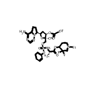 CCC(=O)O[C@H]1C[C@H](c2ccc3c(N)ncnn23)O[C@]1(C#N)COP(=O)(N[C@@H](C)C(=O)OC1CCN(CC)CC1(F)F)Oc1ccccc1